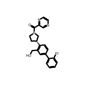 CCc1ccccc1-c1ccc([C@H]2CCN(C(=O)c3cnccn3)C2)c(CO)c1